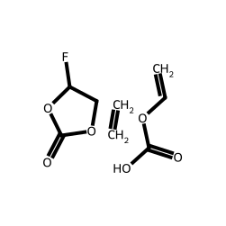 C=C.C=COC(=O)O.O=C1OCC(F)O1